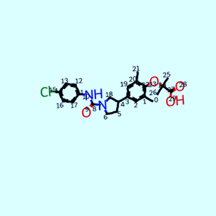 Cc1cc(C2CCN(C(=O)Nc3ccc(Cl)cc3)C2)cc(C)c1OC(C)(C)C(=O)O